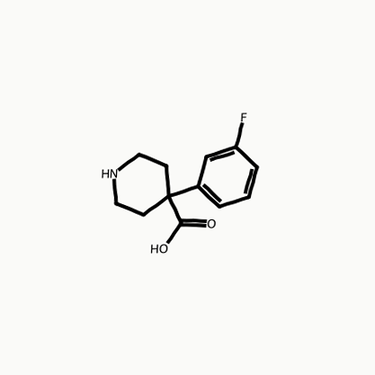 O=C(O)C1(c2cccc(F)c2)CCNCC1